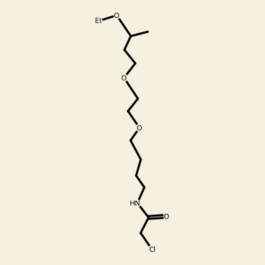 CCOC(C)CCOCCOCCCCNC(=O)CCl